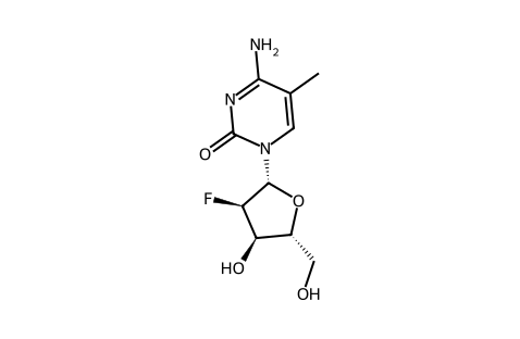 Cc1cn([C@@H]2O[C@H](CO)[C@@H](O)[C@H]2F)c(=O)nc1N